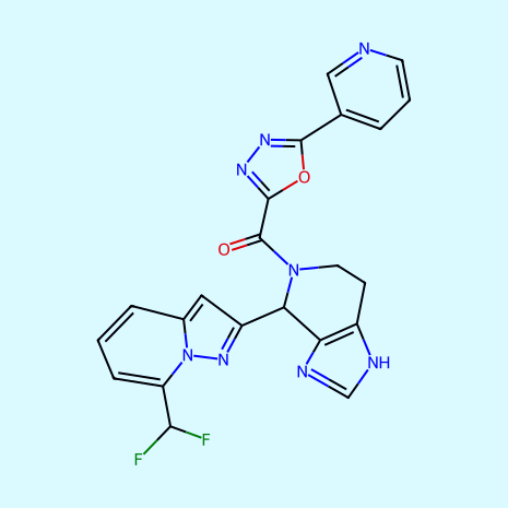 O=C(c1nnc(-c2cccnc2)o1)N1CCc2[nH]cnc2C1c1cc2cccc(C(F)F)n2n1